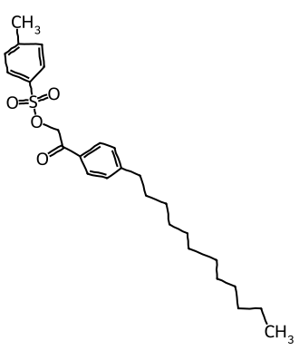 CCCCCCCCCCCCc1ccc(C(=O)COS(=O)(=O)c2ccc(C)cc2)cc1